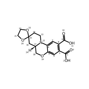 O=C(O)c1cc2c(cc1C(=O)O)N1CCC3(C[C@H]1CO2)OCCO3